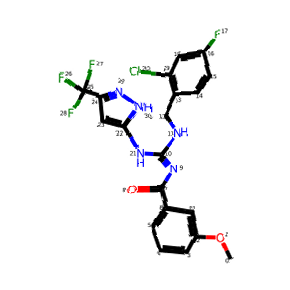 COc1cccc(C(=O)/N=C(/NCc2ccc(F)cc2Cl)Nc2cc(C(F)(F)F)n[nH]2)c1